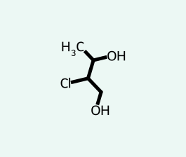 CC(O)C(Cl)CO